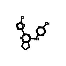 N#Cc1ccc(Nc2cc(-c3ccc(Cl)s3)nc3c2CCC3)cc1